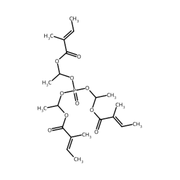 C/C=C(\C)C(=O)OC(C)OP(=O)(OC(C)OC(=O)/C(C)=C/C)OC(C)OC(=O)/C(C)=C/C